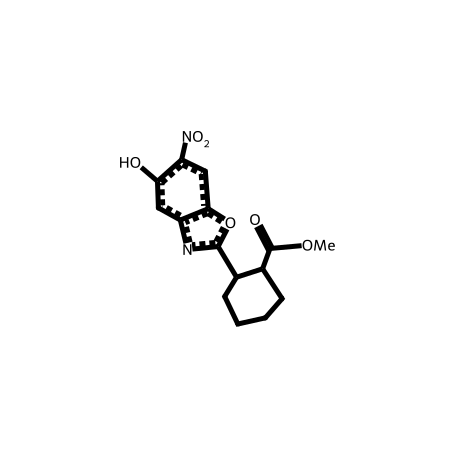 COC(=O)C1CCCCC1c1nc2cc(O)c([N+](=O)[O-])cc2o1